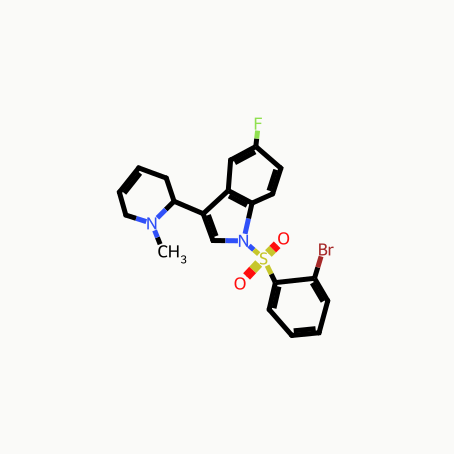 CN1CC=CCC1c1cn(S(=O)(=O)c2ccccc2Br)c2ccc(F)cc12